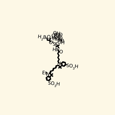 B[C@H]1CC(OCSSC(C)(C)CNC(=O)CCCCC[N+]2=C(/C=C/C=C/C=C3/N(CC)c4ccc(S(=O)(=O)O)cc4C3(C)C)C(C)(C)c3cc(S(=O)(=O)O)ccc32)[C@@H](COP(=O)(O)OP(=O)(O)OP(=O)(O)O)O1